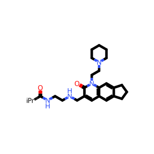 CC(C)C(=O)NCCNCc1cc2cc3c(cc2n(CCN2CCCCC2)c1=O)CCC3